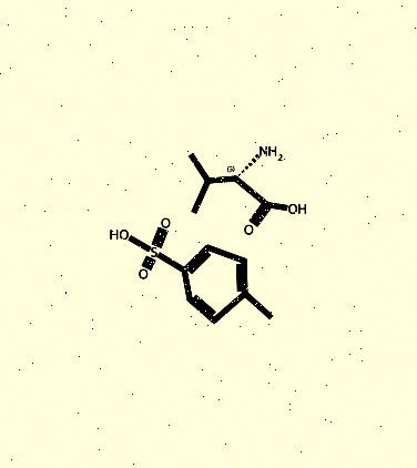 CC(C)[C@H](N)C(=O)O.Cc1ccc(S(=O)(=O)O)cc1